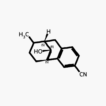 CC1CC[C@]23CCCC[C@@]2(O)[C@H]1Cc1ccc(C#N)cc13